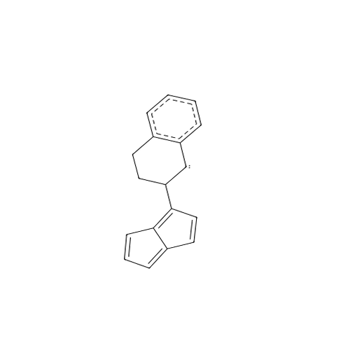 [C]1c2ccccc2CCC1C1=C2C=CC=C2C=C1